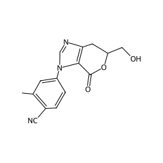 Cc1cc(-n2cnc3c2C(=O)OC(CO)C3)ccc1C#N